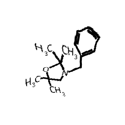 CC1(C)CN(Cc2ccccc2)C(C)(C)O1